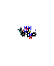 NC(=O)c1sc2c(ccc(=O)n2-c2ccccc2)c1Nc1ccccc1OC(F)(F)F